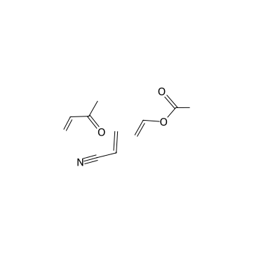 C=CC#N.C=CC(C)=O.C=COC(C)=O